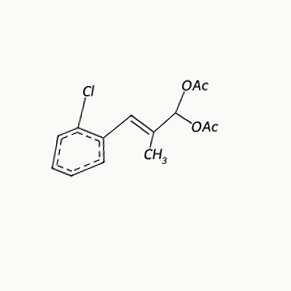 CC(=O)OC(OC(C)=O)/C(C)=C/c1ccccc1Cl